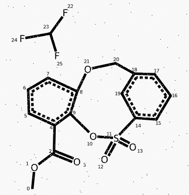 COC(=O)c1cccc2c1OS(=O)(=O)c1cccc(c1)CO2.FC(F)F